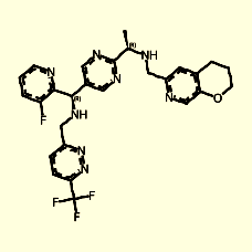 C[C@@H](NCc1cc2c(cn1)OCCC2)c1ncc([C@@H](NCc2ccc(C(F)(F)F)nn2)c2ncccc2F)cn1